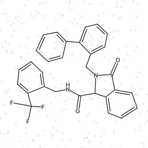 O=C(NCc1ccccc1C(F)(F)F)C1c2ccccc2C(=O)N1Cc1ccccc1-c1ccccc1